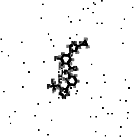 C[C@H](n1cnnc1-c1cccc(NC(=O)c2cc(-n3cnc(C4CC4)c3)cc(F)c2F)n1)C(F)(F)F